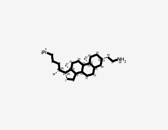 CC(C)CCC[C@@H](C)[C@H]1CCC2C3CCC4C[C@@H](CCN)CC[C@]4(C)C3CC[C@@]21C